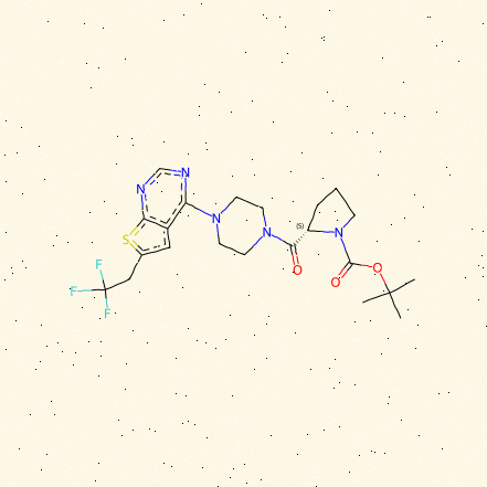 CC(C)(C)OC(=O)N1CCC[C@H]1C(=O)N1CCN(c2ncnc3sc(CC(F)(F)F)cc23)CC1